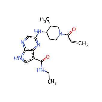 C=CC(=O)N1CC[C@H](Nc2cnc3[nH]cc(C(=O)NCC)c3n2)[C@H](C)C1